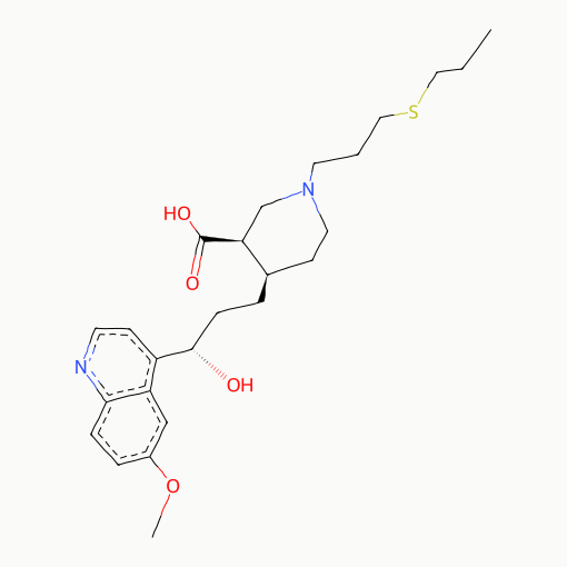 CCCSCCCN1CC[C@@H](CC[C@H](O)c2ccnc3ccc(OC)cc23)[C@@H](C(=O)O)C1